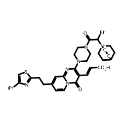 CCC(C(=O)N1CCN(c2nc3cc(CCc4nc(C(C)C)cs4)ccn3c(=O)c2/C=C/C(=O)O)CC1)[N+]12CCC(CC1)CC2